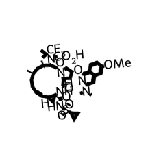 COc1ccc2c(O[C@@H]3C[C@H]4C(=O)N[C@]5(C(=O)NS(=O)(=O)C6CC6)C[C@H]5C=CCC[C@@H](C)C[C@@H](C)[C@H](N(C(=O)O)C(C)(C)C(F)(F)F)C(=O)N4C3)nc(N(C)C)cc2c1